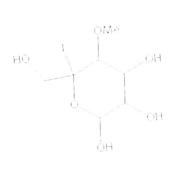 COC1C(O)C(O)C(O)OC1(I)CO